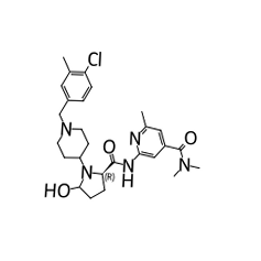 Cc1cc(C(=O)N(C)C)cc(NC(=O)[C@H]2CCC(O)N2C2CCN(Cc3ccc(Cl)c(C)c3)CC2)n1